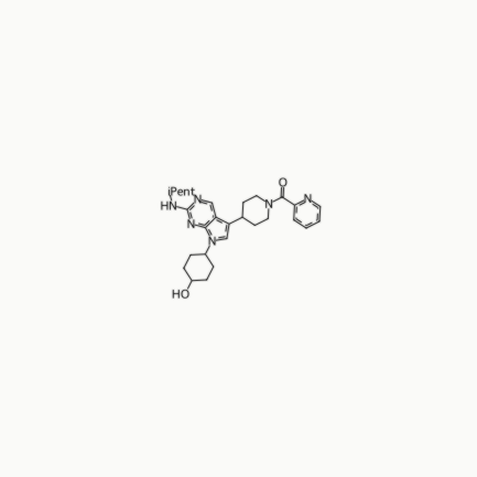 CCCC(C)Nc1ncc2c(C3CCN(C(=O)c4ccccn4)CC3)cn(C3CCC(O)CC3)c2n1